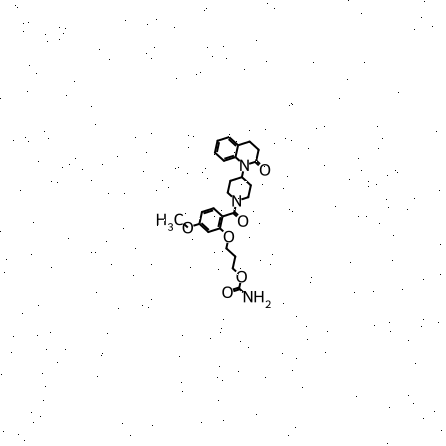 COc1ccc(C(=O)N2CCC(N3C(=O)CCc4ccccc43)CC2)c(OCCCOC(N)=O)c1